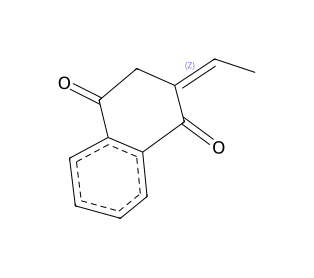 C/C=C1/CC(=O)c2ccccc2C1=O